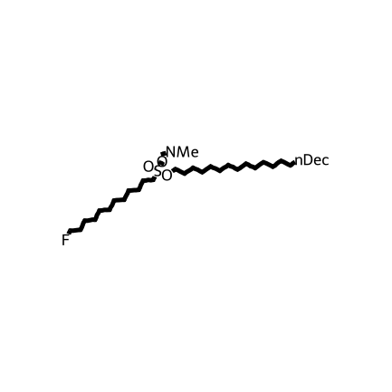 CCCCCCCCCCCCCCCCCCCCCCCCOS(=O)(=O)CCCCCCCCCCCCF.CNC